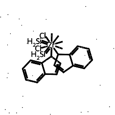 [CH3][Zr]([CH3])([CH3])([CH3])(=[SiH2])(=[SiH2])([Cl])([Cl])([CH]1C=Cc2ccccc21)[CH]1C=Cc2ccccc21